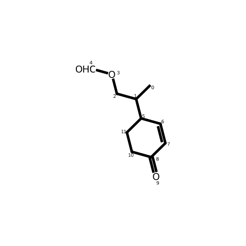 CC(COC=O)C1C=CC(=O)CC1